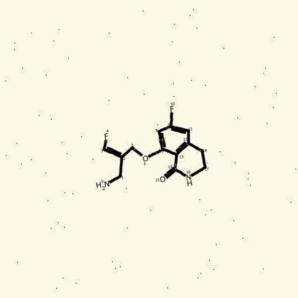 NC/C(=C/F)COc1cc(F)cc2c1C(=O)NCC2